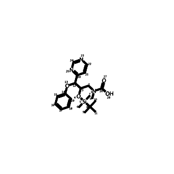 CN(CC(O[Si](C)(C)C(C)(C)C)C(Oc1ccccc1)c1ccncn1)C(=O)O